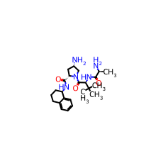 C[C@H](N)C(=O)N[C@H](C(=O)N1C[C@@H](N)C[C@H]1C(=O)N[C@@H]1CCCc2ccccc21)C(C)(C)C